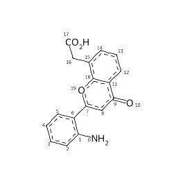 Nc1ccccc1-c1cc(=O)c2cccc(CC(=O)O)c2o1